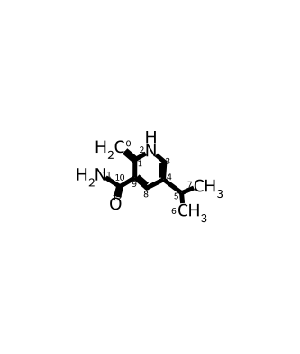 C=C1NC=C(C(C)C)C=C1C(N)=O